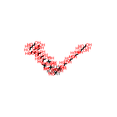 CC(CO)(CO)CO.CCC(CO)(CO)CO.CCCCCCCCCCC.OCC(CO)(CO)CO.OCC(CO)(CO)COCC(CO)(CO)CO.OCC(O)CO.OCC(O)CO.OCC(O)CO.OCC(O)CO.OCC(O)CO.OCC(O)CO.OCCOCCO.OCCOCCOCCO.OC[C@@H](O)[C@@H](O)[C@H](O)[C@@H](O)CO.OC[C@@H](O)[C@@H](O)[C@H](O)[C@H](O)CO